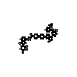 COc1cc(N2CCC(N3CCN(C(=O)CCNc4cccc5c4CN(C4CCC(=O)NC4=O)C5=O)CC3)CC2)ccc1Nc1ncc(Cl)c(Nc2ccccc2P(C)(C)=O)n1